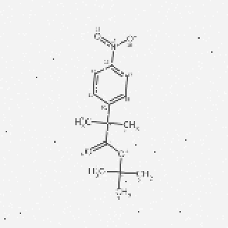 CC(C)(C)OC(=O)C(C)(C)c1ccc([N+](=O)[O-])cc1